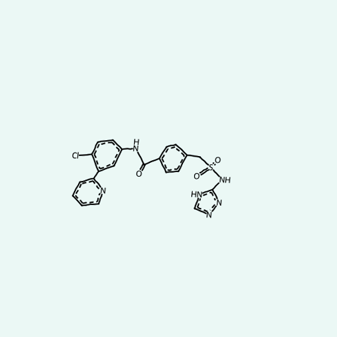 O=C(Nc1ccc(Cl)c(-c2ccccn2)c1)c1ccc(CS(=O)(=O)Nc2nnc[nH]2)cc1